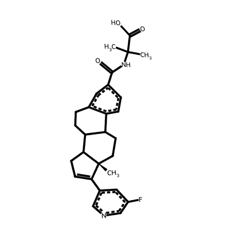 CC(C)(NC(=O)c1ccc2c(c1)CCC1C2CC[C@]2(C)C(c3cncc(F)c3)=CCC12)C(=O)O